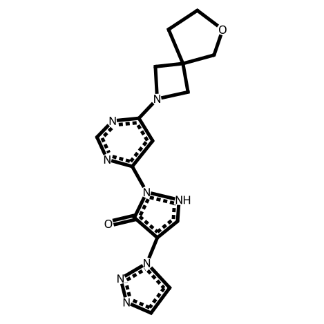 O=c1c(-n2ccnn2)c[nH]n1-c1cc(N2CC3(CCOC3)C2)ncn1